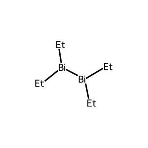 C[CH2][Bi]([CH2]C)[Bi]([CH2]C)[CH2]C